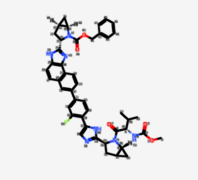 COC(=O)N[C@H](C(=O)N1[C@@H]2CC2C[C@H]1c1ncc(-c2ccc(-c3ccc4c(ccc5[nH]c([C@@H]6C[C@H]7C[C@H]7N6C(=O)OCc6ccccc6)nc54)c3)cc2F)[nH]1)C(C)C